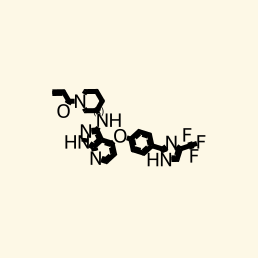 C=CC(=O)N1CCC[C@@H](Nc2n[nH]c3nccc(Oc4ccc(-c5nc(C(F)(F)F)c[nH]5)cc4)c23)C1